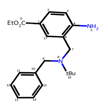 CCOC(=O)c1ccc(N)c(CN(Cc2ccccc2)C(C)(C)C)c1